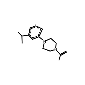 C=C(C)N1CCN(c2cncc(C(C)C)c2)CC1